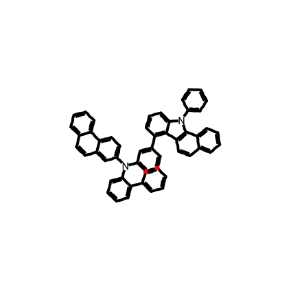 c1ccc(-c2ccccc2N(c2cccc(-c3cccc4c3c3ccc5ccccc5c3n4-c3ccccc3)c2)c2ccc3c(ccc4ccccc43)c2)cc1